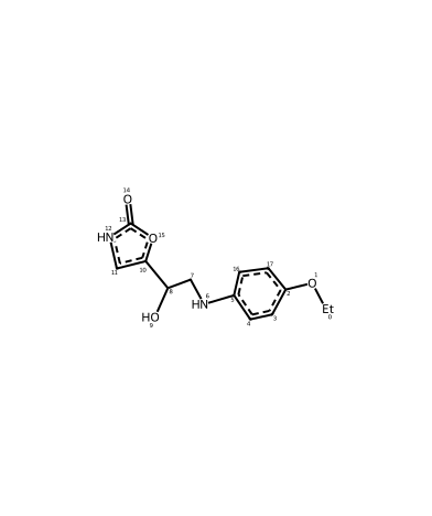 CCOc1ccc(NCC(O)c2c[nH]c(=O)o2)cc1